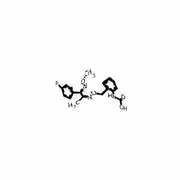 CO/N=C(/C(C)=NOCc1ccccc1NC(=O)O)c1ccc(F)cc1